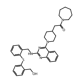 O=C(CC1CCN(c2nc(NCc3ccccc3Sc3ccccc3CO)nc3ccccc23)CC1)N1CCCCCC1